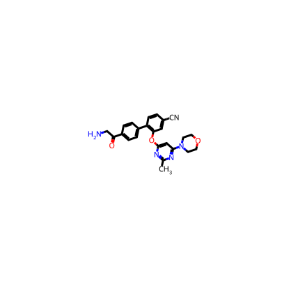 Cc1nc(Oc2cc(C#N)ccc2-c2ccc(C(=O)CN)cc2)cc(N2CCOCC2)n1